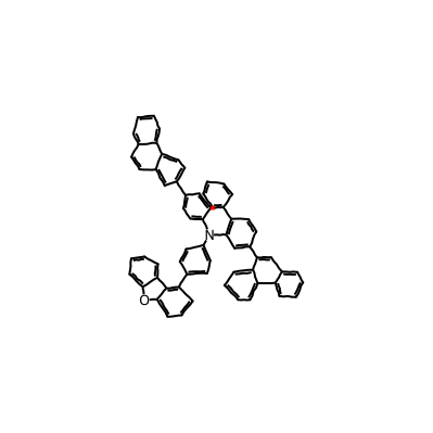 c1ccc(-c2ccc(-c3cc4ccccc4c4ccccc34)cc2N(c2ccc(-c3ccc4c(ccc5ccccc54)c3)cc2)c2ccc(-c3cccc4oc5ccccc5c34)cc2)cc1